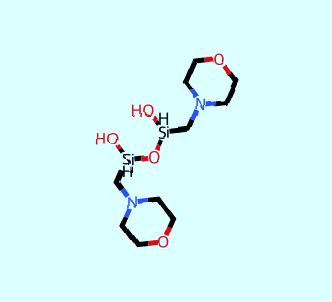 O[SiH](CN1CCOCC1)O[SiH](O)CN1CCOCC1